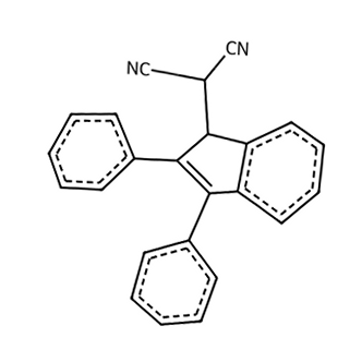 N#CC(C#N)C1C(c2ccccc2)=C(c2ccccc2)c2ccccc21